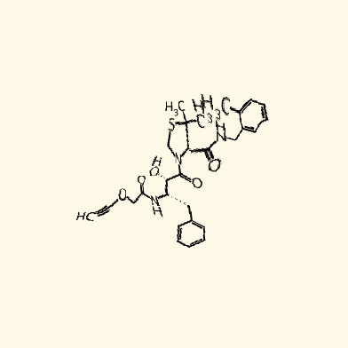 C#COCC(=O)N[C@@H](Cc1ccccc1)[C@H](O)C(=O)N1CSC(C)(C)[C@H]1C(=O)NCc1ccccc1C